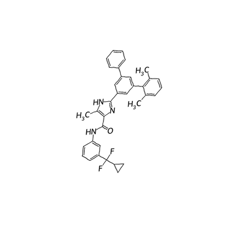 Cc1cccc(C)c1-c1cc(-c2ccccc2)cc(-c2nc(C(=O)Nc3cccc(C(F)(F)C4CC4)c3)c(C)[nH]2)c1